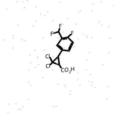 O=C(O)C1C(c2ccc(F)c(C(F)F)c2)C1(Cl)Cl